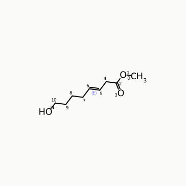 COC(=O)C/C=C/CCCCO